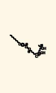 CCCCCCCCCCOc1ccc(C(=O)OCCOC(=O)CCC/C=C\C[C@@H]2[C@@H](/C=C/C[C@H](O)C3(CC)CCC3)[C@H](O)C[C@H]2Cl)cc1